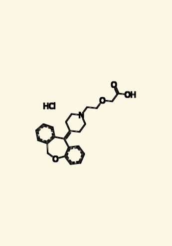 Cl.O=C(O)COCCN1CCC(=C2c3ccccc3COc3ccccc32)CC1